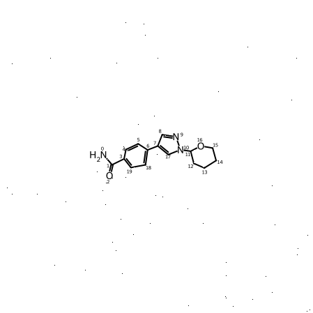 NC(=O)c1ccc(-c2cnn(C3CCCCO3)c2)cc1